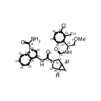 COC[C@@H](NC(=O)[C@@H]1[C@H]2C[C@H]2CN1C(=O)Nc1cn(C(N)=O)c2ccccc12)c1cccc(Cl)c1F